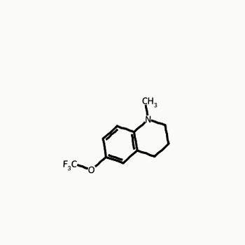 CN1CCCc2cc(OC(F)(F)F)ccc21